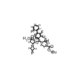 CC(C)(C)OC(=O)N1CCN2C(=O)c3c(N4C[C@H](N5CC(F)C5)CC4(C)C)nc(-c4ccccc4F)c(F)c3OC[C@H]2C1